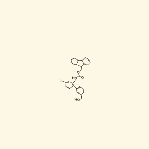 O=C(NCc1cc(Cl)ccc1-c1cc(CO)ccn1)OCC1c2ccccc2-c2ccccc21